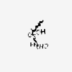 C=CCC[C@@H](O)[C@H](C)C(=O)SCCNC=O